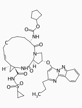 CCCc1cc(O[C@@H]2C[C@H]3C(=O)N[C@]4(C(=O)NS(=O)(=O)C5CC5)C[C@H]4/C=C\CCCCC[C@H](NC(=O)OC4CCCC4)C(=O)N3C2)n2nc3ccccc3c2n1